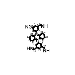 N#Cc1cc(C=N)cc(N2c3ccccc3N(c3cc(C=N)cc(C=N)c3)c3ccccc32)c1